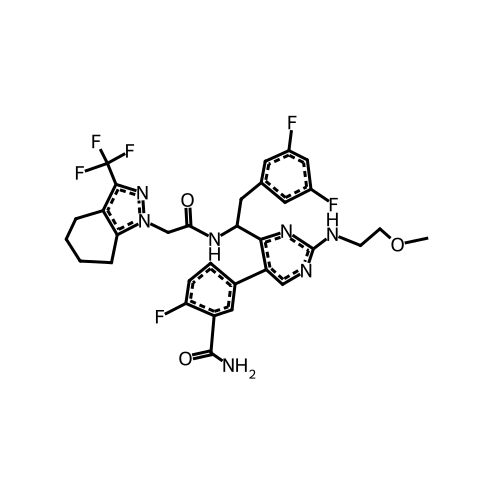 COCCNc1ncc(-c2ccc(F)c(C(N)=O)c2)c(C(Cc2cc(F)cc(F)c2)NC(=O)Cn2nc(C(F)(F)F)c3c2CCCC3)n1